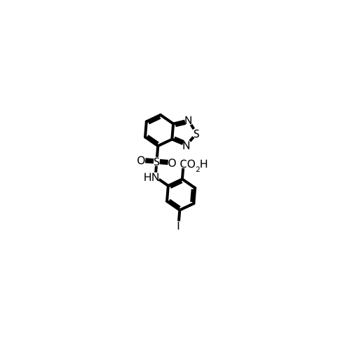 O=C(O)c1ccc(I)cc1NS(=O)(=O)c1cccc2nsnc12